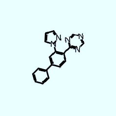 c1ccc(-c2ccc(-c3ncncn3)c(-n3cccn3)c2)cc1